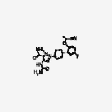 CC(C#N)Oc1ccc(F)cc1-c1ccc(-n2cc(NC(N)=O)c(C(N)=O)n2)cc1